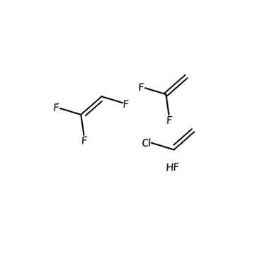 C=C(F)F.C=CCl.F.FC=C(F)F